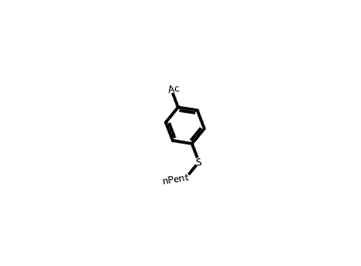 CCCCCSc1ccc(C(C)=O)cc1